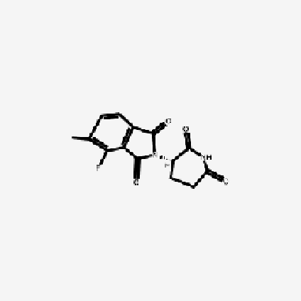 Cc1ccc2c(c1F)C(=O)N([C@H]1CCC(=O)NC1=O)C2=O